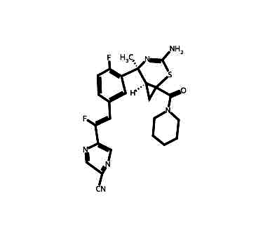 C[C@]1(c2cc(/C=C(\F)c3cnc(C#N)cn3)ccc2F)N=C(N)SC2(C(=O)N3CCCCC3)C[C@H]21